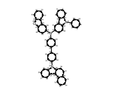 c1ccc(-n2c3ccccc3c3cc(N(c4ccc(-c5ccc(-n6c7ccccc7c7c8ccccc8ccc76)cc5)cc4)c4ccc5oc6ccccc6c5c4)ccc32)cc1